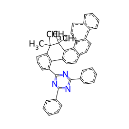 CC1(C)c2cccc(-c3nc(-c4ccccc4)nc(-c4ccccc4)n3)c2-c2ccc3ccc4c5ccccc5ccc4c3c2C1(C)C